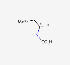 CSC[C@H](C)NC(=O)O